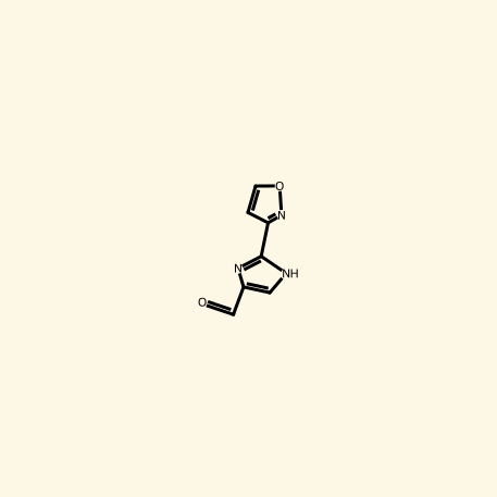 O=Cc1c[nH]c(-c2ccon2)n1